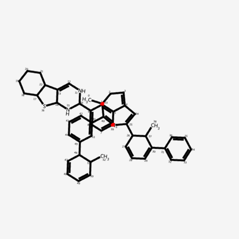 CC1C/C=C(c2cccc(C3NC=C4C(N3)SC3CCCCC43)c2)/C=C(C2C=CC=C(c3ccccc3)C2C)\N=C/1c1cccc(C2C=CC=CC2C)c1